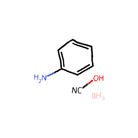 B.N#CO.Nc1ccccc1